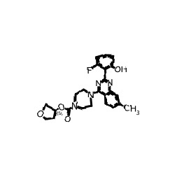 Cc1ccc2c(N3CCN(C(=O)O[C@H]4CCOC4)CC3)nc(-c3c(O)cccc3F)nc2c1